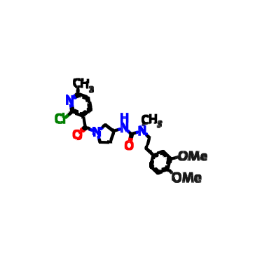 COc1ccc(CCN(C)C(=O)NC2CCN(C(=O)c3ccc(C)nc3Cl)C2)cc1OC